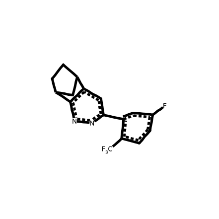 Fc1ccc(C(F)(F)F)c(-c2cc3c(nn2)C2CCC3C2)c1